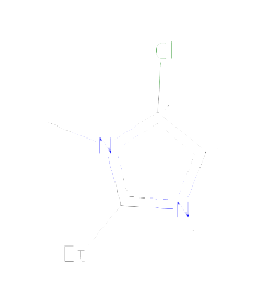 CCc1ncc(Cl)n1C